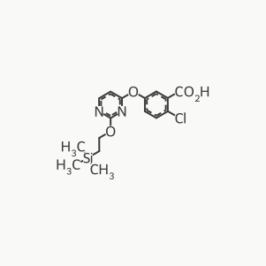 C[Si](C)(C)CCOc1nccc(Oc2ccc(Cl)c(C(=O)O)c2)n1